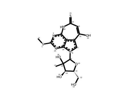 CSc1nc2c3c(cn(C4O[C@H](CO)[C@@H](O)C4(C)O)c3n1)C(O)=CC(=S)N2